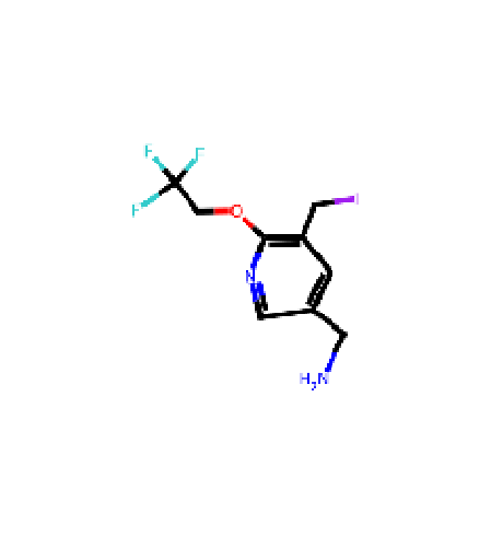 NCc1cnc(OCC(F)(F)F)c(CI)c1